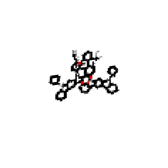 N#Cc1ccc(-n2c3ccccc3c3cc4c5ccccc5n(-c5ccccc5)c4cc32)c(-c2cc(-n3c4ccccc4c4cc5c6ccccc6n(-c6ccccc6)c5cc43)ccc2-c2c(C(F)(F)F)cccc2C(F)(F)F)c1